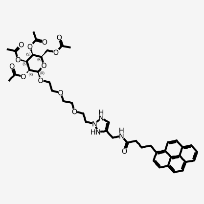 CC(=O)OC[C@H]1O[C@@H](OCCOCCOCCN2NC=C(CNC(=O)CCCc3ccc4ccc5cccc6ccc3c4c56)N2)[C@H](OC(C)=O)[C@@H](OC(C)=O)[C@H]1OC(C)=O